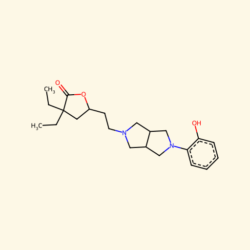 CCC1(CC)CC(CCN2CC3CN(c4ccccc4O)CC3C2)OC1=O